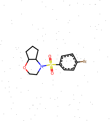 O=S(=O)(c1ccc(Br)cc1)N1CCOC2CCCC21